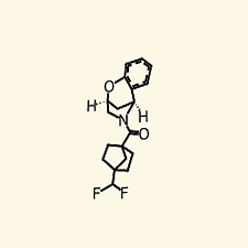 O=C(N1C[C@@H]2C[C@H]1c1ccccc1O2)C12CCC(C(F)F)(CC1)C2